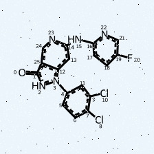 O=c1[nH]n(-c2ccc(Cl)c(Cl)c2)c2cc(Nc3ccc(F)cn3)ncc12